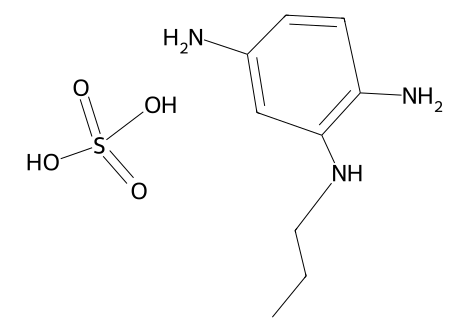 CCCNc1cc(N)ccc1N.O=S(=O)(O)O